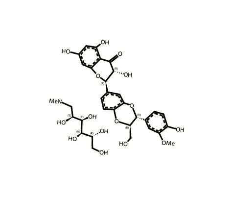 CNC[C@H](O)[C@@H](O)[C@H](O)[C@H](O)CO.COc1cc([C@H]2Oc3cc([C@H]4Oc5cc(O)cc(O)c5C(=O)[C@@H]4O)ccc3O[C@@H]2CO)ccc1O